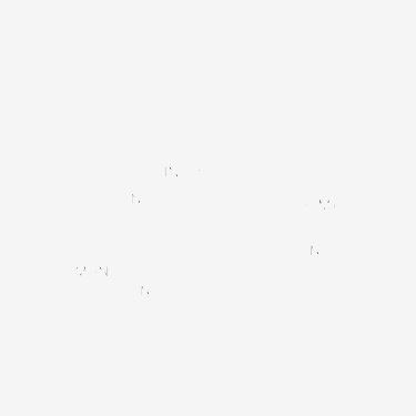 CNc1ncc(C#Cc2ccnc(OC)c2)c2cc(NC(=O)C3CC3)ncc12